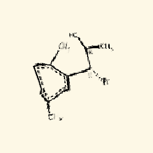 Cc1ccc(C)c([C@@H](C(C)C)[C@H](C)O)c1